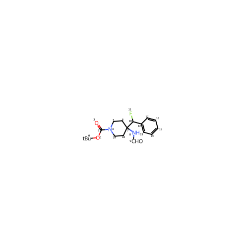 CC(C)(C)OC(=O)N1CCC(NC=O)(C(F)c2ccccc2)CC1